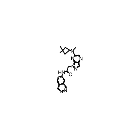 CN(c1cnc2cnn(CC(=O)Nc3ccc4cnncc4c3)c2n1)C1CC(C)(C)C1